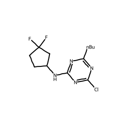 CCCCc1nc(Cl)nc(NC2CCC(F)(F)C2)n1